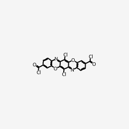 O=C(Cl)c1ccc2c(c1)Oc1c(Cl)c3c(c(Cl)c1=N2)Oc1cc(C(=O)Cl)ccc1N=3